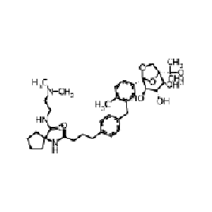 Cc1ccc([C@]23OC[C@](C(C)(C)O)(O2)[C@@H](O)[C@H](O)[C@H]3O)cc1Cc1ccc(CCCC(=O)NC2(C(=O)NCCN(C)C)CCCC2)cc1